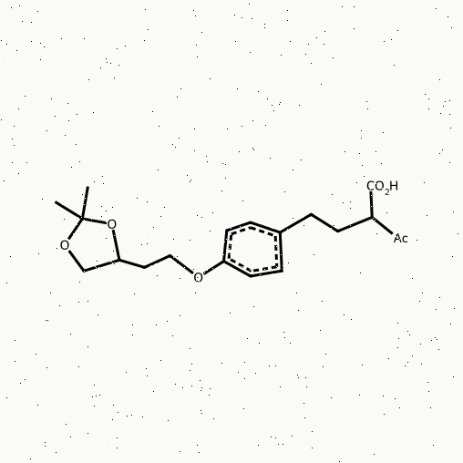 CC(=O)C(CCc1ccc(OCCC2COC(C)(C)O2)cc1)C(=O)O